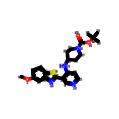 COc1ccc2sc(-c3cnccc3NC3CCN(C(=O)OC(C)(C)C)CC3)nc2c1